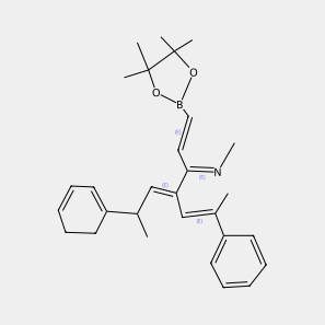 C/N=C(\C=C\B1OC(C)(C)C(C)(C)O1)C(=C/C(C)C1=CC=CCC1)/C=C(\C)c1ccccc1